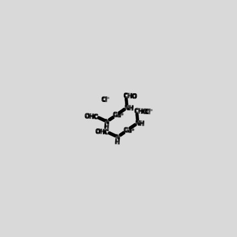 O=C[NH][Ga+][NH]C=O.O=C[NH][Ga+][NH]C=O.[Cl-].[Cl-]